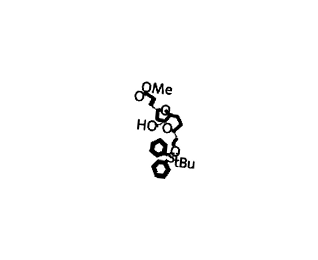 COC(=O)/C=C/[C@H]1C[C@]2(CO)O[C@@H](CCO[Si](c3ccccc3)(c3ccccc3)C(C)(C)C)CCC2O1